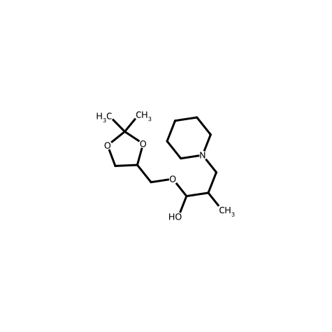 CC(CN1CCCCC1)C(O)OCC1COC(C)(C)O1